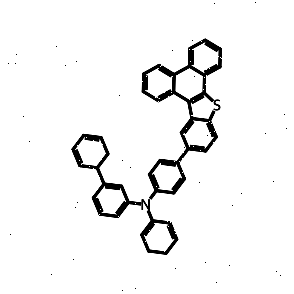 C1=CCC(c2cccc(N(C3=CCCC=C3)c3ccc(-c4ccc5sc6c7ccccc7c7ccccc7c6c5c4)cc3)c2)C=C1